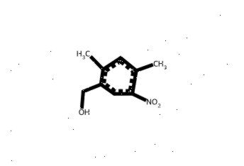 Cc1cc(C)c([N+](=O)[O-])cc1CO